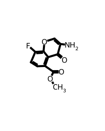 COC(=O)c1ccc(F)c2occ(N)c(=O)c12